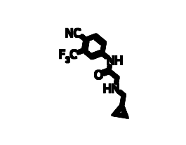 N#Cc1ccc(NC(=O)CNCC2CC2)cc1C(F)(F)F